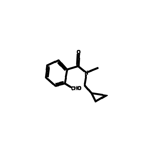 CN(CC1CC1)C(=O)c1ccccc1C=O